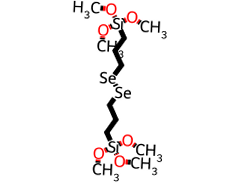 CO[Si](CCC[Se][Se]CCC[Si](OC)(OC)OC)(OC)OC